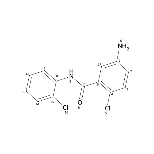 Nc1ccc(Cl)c(C(=O)Nc2ccccc2Cl)c1